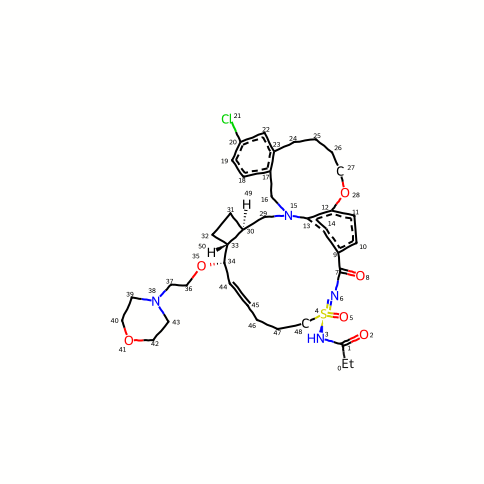 CCC(=O)N[S@]1(=O)=NC(=O)c2ccc3c(c2)N(Cc2ccc(Cl)cc2CCCCO3)C[C@@H]2CC[C@H]2[C@@H](OCCN2CCOCC2)/C=C/CCC1